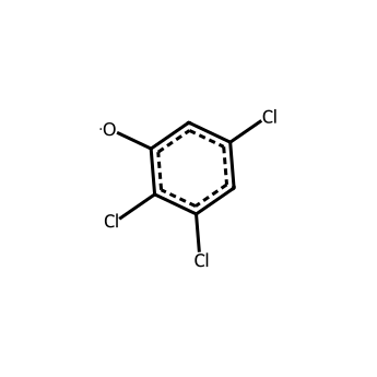 [O]c1cc(Cl)cc(Cl)c1Cl